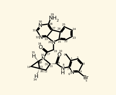 Cc1ccc(Br)nc1NC(=O)[C@@H]1C[C@H]2C[C@H]2N1C(=O)Cn1c2ccccc2c2c(N)ncnc21